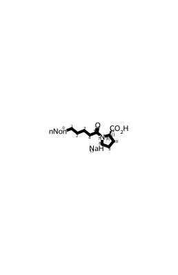 CCCCCCCCCCCCCC(=O)N1CCC[C@@H]1C(=O)O.[NaH]